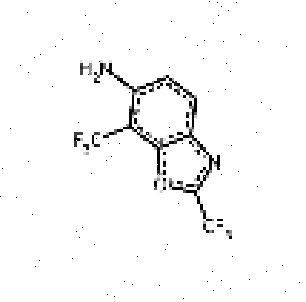 Nc1ccc2nc(C(F)(F)F)oc2c1C(F)(F)F